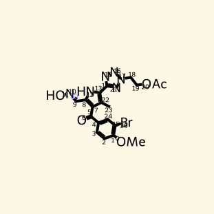 COc1ccc(C(=O)c2c(/C=N/O)[nH]c(-c3nnn(CCOC(C)=O)n3)c2C)cc1Br